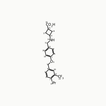 CC(C)c1ccc(COc2ccc(CNC3CC(C(=O)O)C3)cc2)cc1C(F)(F)F